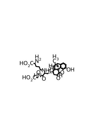 CN1CC[C@]23c4c5ccc(O)c4O[C@H]2C(=O)C[C@H](SCC(NC(=O)CCC(N)C(=O)O)C(=O)NCC(=O)O)[C@H]3[C@H]1C5